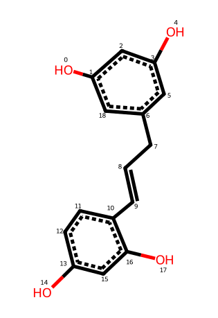 Oc1cc(O)cc(C/C=C/c2ccc(O)cc2O)c1